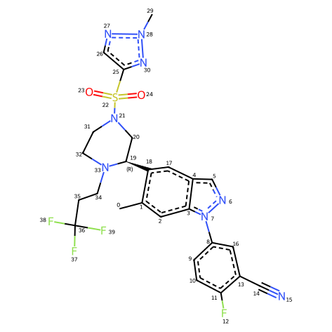 Cc1cc2c(cnn2-c2ccc(F)c(C#N)c2)cc1[C@@H]1CN(S(=O)(=O)c2cnn(C)n2)CCN1CCC(F)(F)F